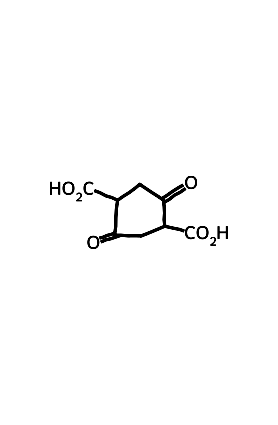 O=C(O)C1CC(=O)C(C(=O)O)CC1=O